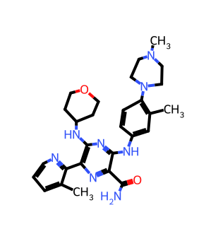 Cc1cc(Nc2nc(NC3CCOCC3)c(-c3ncccc3C)nc2C(N)=O)ccc1N1CCN(C)CC1